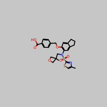 Cc1csc(S(=O)(=O)N(CC2(C)COC2)c2cc3c(cc2OCc2ccc(C(=O)O)cc2)CCC3)n1